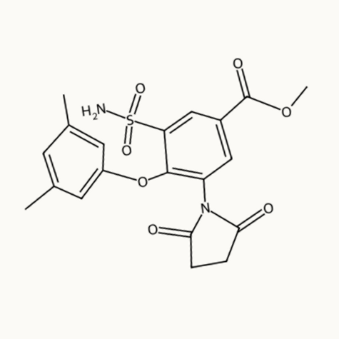 COC(=O)c1cc(N2C(=O)CCC2=O)c(Oc2cc(C)cc(C)c2)c(S(N)(=O)=O)c1